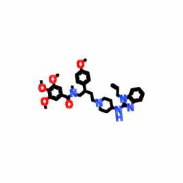 C=CCn1c(NC2CCN(CCC(CN(C)C(=O)c3cc(OC)c(OC)c(OC)c3)c3ccc(OC)cc3)CC2)nc2ccccc21